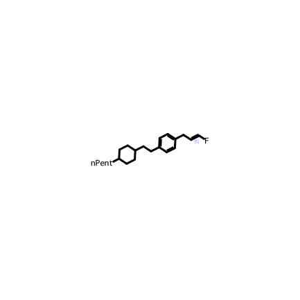 CCCCCC1CCC(CCc2ccc(C/C=C/F)cc2)CC1